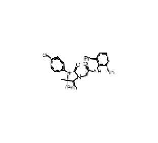 CCCC1(C)C(=O)N(CC(=O)Nc2c(C(C)C)cccc2C(C)C)C(=O)N1c1ccc(Cl)cc1